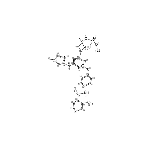 CCOP(=O)(O)OC1(C)CN(c2cc(Nc3cc(C)[nH]n3)nc(Sc3ccc(NC(=O)c4ccccc4C(F)(F)F)cc3)n2)C1